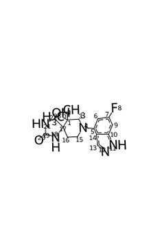 CC1(C)CN(c2cc(F)cc3[nH]ncc23)CCC12NC(=O)NC2O